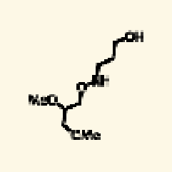 COC[C@H](CONCCCO)OC